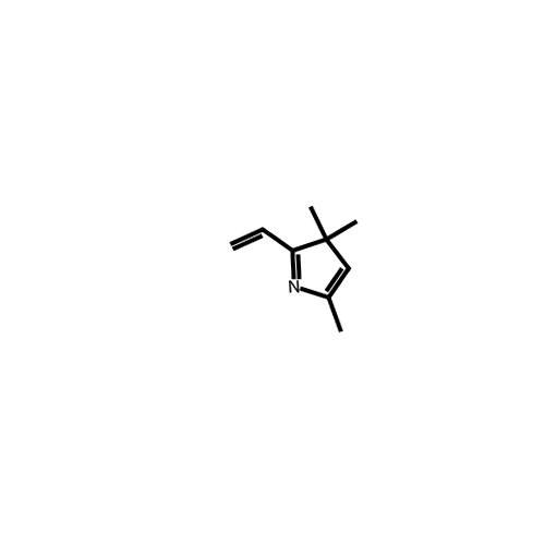 C=CC1=NC(C)=CC1(C)C